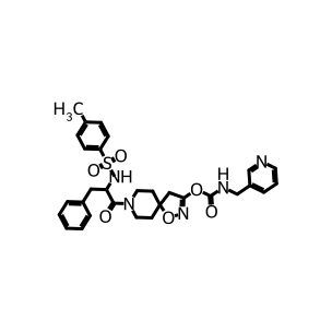 Cc1ccc(S(=O)(=O)NC(Cc2ccccc2)C(=O)N2CCC3(CC2)CC(OC(=O)NCc2cccnc2)=NO3)cc1